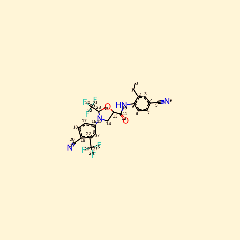 CCc1cc(C#N)ccc1NC(=O)C1CN(c2ccc(C#N)c(C(F)(F)F)c2)C(C(F)(F)F)O1